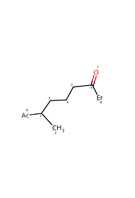 CC(=O)C(C)CCC[C](=O)[Er]